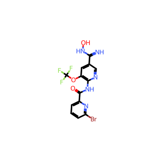 N=C(NO)c1cnc(NC(=O)c2cccc(Br)n2)c(OC(F)(F)F)c1